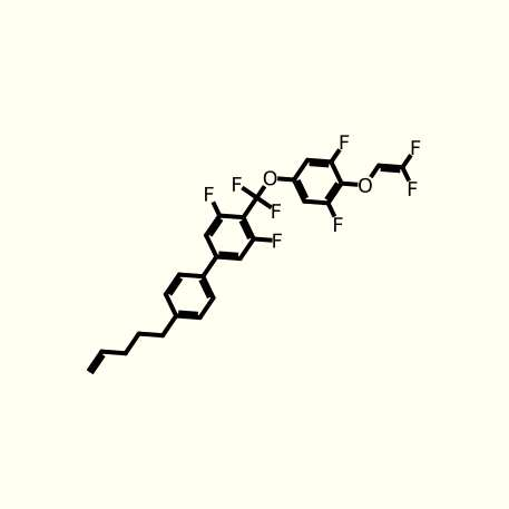 C=CCCCc1ccc(-c2cc(F)c(C(F)(F)Oc3cc(F)c(OC=C(F)F)c(F)c3)c(F)c2)cc1